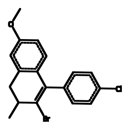 COc1ccc2c(c1)CC(C)C(Br)=C2c1ccc(Cl)cc1